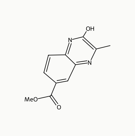 COC(=O)c1ccc2nc(O)c(C)nc2c1